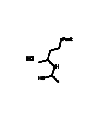 CCCCCCCC(C)NC(C)O.Cl